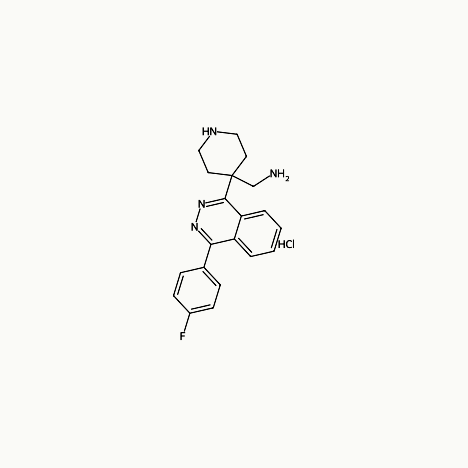 Cl.NCC1(c2nnc(-c3ccc(F)cc3)c3ccccc23)CCNCC1